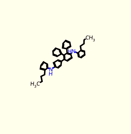 CCCCc1ccccc1Nc1ccc(-c2ccc(Nc3ccccc3CCCC)c(-c3ccccc3)c2-c2ccccc2)cc1